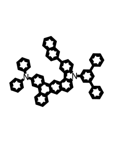 c1ccc(-c2cc(-c3ccccc3)cc(-n3c4ccc(-c5ccc6ccccc6c5)cc4c4c5cc6c7ccc(N(c8ccccc8)c8ccccc8)cc7c7ccccc7c6cc5ccc43)c2)cc1